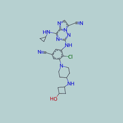 N#Cc1cc(Nc2nc(NC3CC3)c3ncc(C#N)n3n2)c(Cl)c(N2CCC(NC3CC(O)C3)CC2)c1